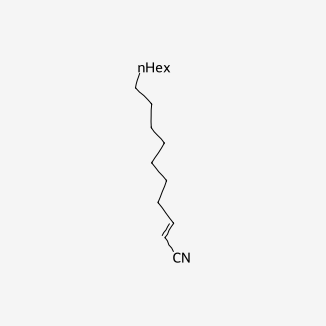 CCCCCCCCCCCCC/C=C/C#N